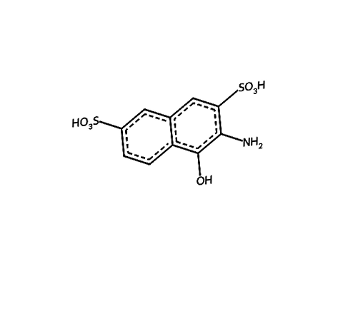 Nc1c(S(=O)(=O)O)cc2cc(S(=O)(=O)O)ccc2c1O